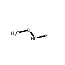 COPF